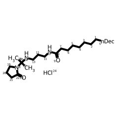 CCCCCCCCCCCCCCCCCC(=O)NCCCNC(C)(C)N1CCCC1=O.Cl